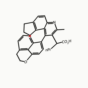 CCCC(C(=O)O)c1c(C)nc2ccc3c(c2c1-c1ccc2c4c(ccnc14)CCO2)CCC3